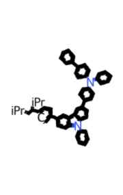 CC(C)CC(c1ccc(-c2ccc3c(c2)c2cc(-c4ccc(N(c5ccccc5)c5ccc(-c6ccccc6)cc5)cc4)ccc2n3-c2ccccc2)cc1)C(C)C